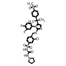 CC(C)(c1ccc(S(C)(=O)=O)cc1)c1cnc(SCc2ccc(S(=O)(=O)NC(=O)NN3CCCC3)cc2Cl)n1-c1ccc(F)c(F)c1